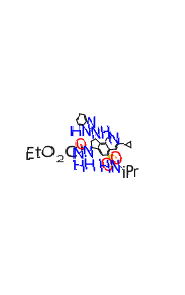 CCOC(=O)NC(=O)N[C@H]1C[C@H](Nc2nc3ccccc3[nH]2)c2c1cc(S(=O)(=O)NCC(C)C)c1cc(C3CC3)ncc21